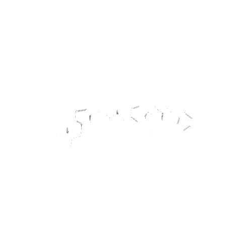 COc1cc(CC(=O)NCc2cccc(CC(C)C(=O)O)c2)ccc1NC(=O)Nc1ccccc1C